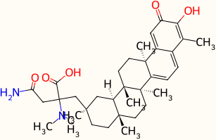 CC1=C(O)C(=O)C=C2C1=CC=C1[C@@]2(C)CC[C@@]2(C)[C@@H]3C[C@](C)(CC(CC(N)=O)(C(=O)O)N(C)C)CC[C@@]3(C)CC[C@]12C